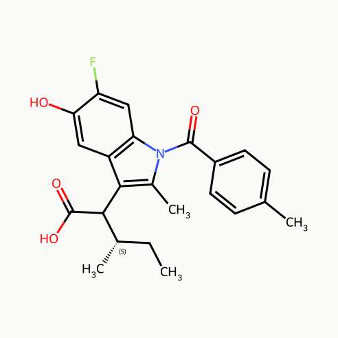 CC[C@H](C)C(C(=O)O)c1c(C)n(C(=O)c2ccc(C)cc2)c2cc(F)c(O)cc12